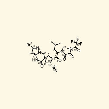 CC(C)CC(C(=O)N1CC2(C[C@H]1C#N)Cn1nc(Br)cc1NC2=O)N(C)C(=O)C(C)NC(=O)C(F)(F)F